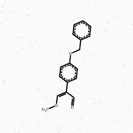 COC=C(C=O)c1ccc(OCc2ccccc2)cc1